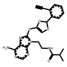 C#Cc1ccccc1C1OC=C(Sc2nc3c(N)ncnc3n2CCNC(=O)C(C)C)O1